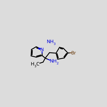 CCC(N)(Cc1ccc(Br)cc1)c1ccccn1.N